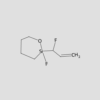 C=CC(F)[Si]1(F)CCCCO1